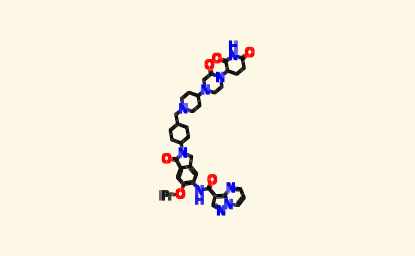 CC(C)Oc1cc2c(cc1NC(=O)c1cnn3cccnc13)CN(C1CCC(CN3CCC(N4CCN(C5CCC(=O)NC5=O)C(=O)C4)CC3)CC1)C2=O